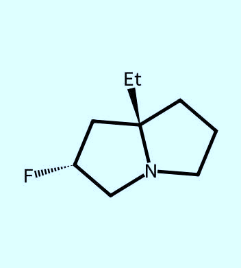 CC[C@@]12CCCN1C[C@H](F)C2